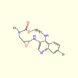 CCNc1c(NC2OC2CN(CC)C(=O)OC(C)(C)C)cnc2cc(Br)ccc12